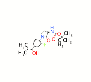 CC(C)C(O)c1ccc(N2CC[C@H](NC(=O)OC(C)(C)C)C2=O)c(F)c1